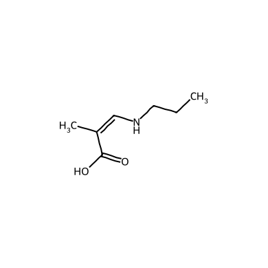 CCCNC=C(C)C(=O)O